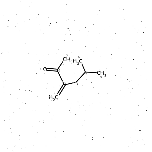 C=C(CC(C)C)C(C)=O